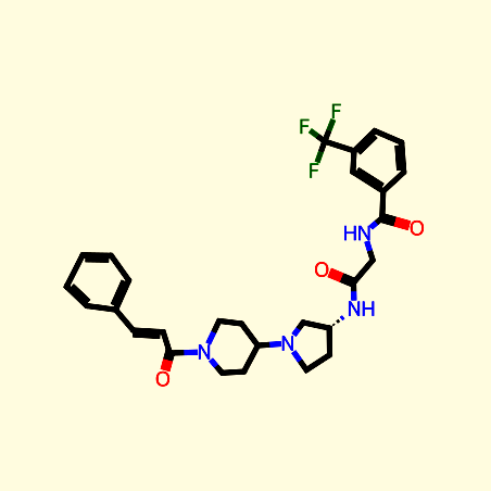 O=C(CNC(=O)c1cccc(C(F)(F)F)c1)N[C@@H]1CCN(C2CCN(C(=O)C=Cc3ccccc3)CC2)C1